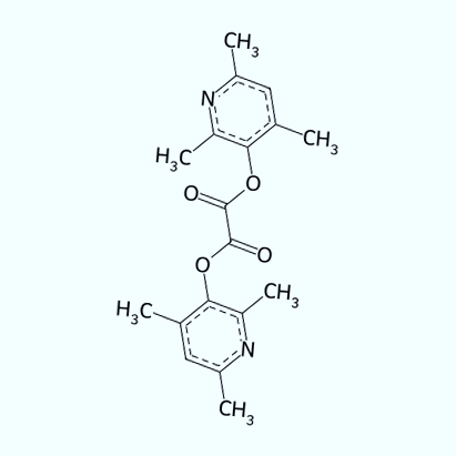 Cc1cc(C)c(OC(=O)C(=O)Oc2c(C)cc(C)nc2C)c(C)n1